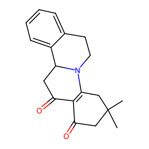 CC1(C)CC(=O)C2=C(C1)N1CCc3ccccc3C1CC2=O